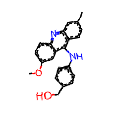 COc1ccc2nc3cc(C)ccc3c(Nc3ccc(CO)cc3)c2c1